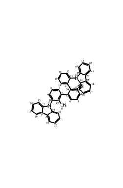 N#Cc1cccc(-c2cccc(-n3c4ccccc4c4ccccc43)c2C#N)c1-c1ccccc1-n1c2ccccc2c2ccccc21